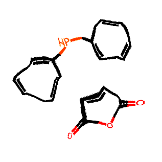 O=C1C=CC(=O)O1.c1ccc(Pc2ccccc2)cc1